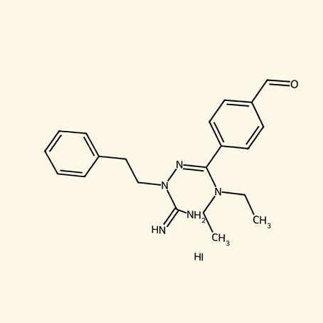 CCN(CC)C(=NN(CCc1ccccc1)C(=N)N)c1ccc(C=O)cc1.I